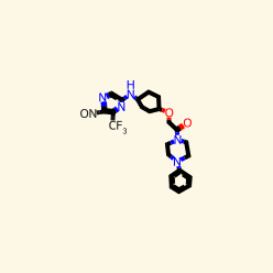 O=Nc1ncc(NC2CCC(OCC(=O)N3CCN(c4ccccc4)CC3)CC2)nc1C(F)(F)F